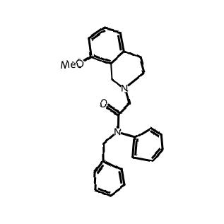 COc1cccc2c1CN(CC(=O)N(Cc1ccccc1)c1ccccc1)CC2